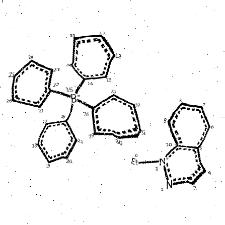 CC[n+]1nccc2ccccc21.c1ccc([B-](c2ccccc2)(c2ccccc2)c2ccccc2)cc1